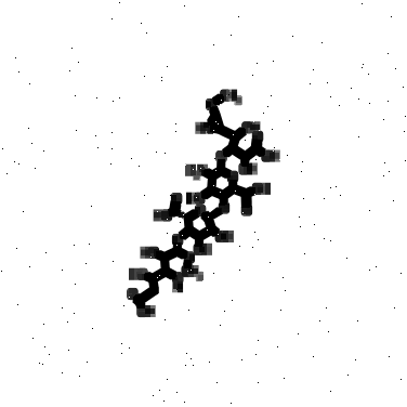 COC1NC1C(O)C(OC1OC(C(=O)O)C(O[C@@H]2O[C@@H](C(=O)O)C(OC(OC)C(O)C(O)C(O)CC(=O)O)C(O)C2O)C(O)C1N)C(O)C(=O)O